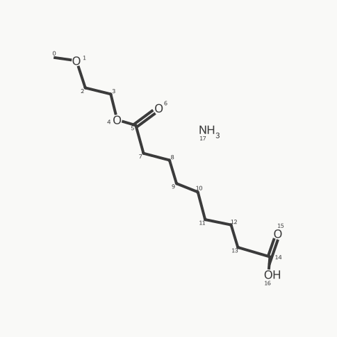 COCCOC(=O)CCCCCCCC(=O)O.N